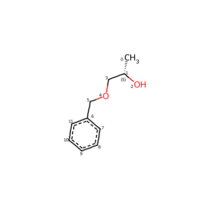 C[C@H](O)COCc1ccccc1